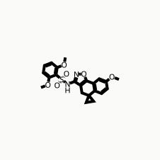 COc1ccc2c(c1)-c1onc(NS(=O)(=O)c3c(OC)cccc3OC)c1CC21CC1